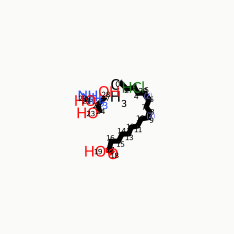 CCCCC/C=C\C/C=C\CCCCCCCC(=O)O.Cl.N.N.OCC(O)CO